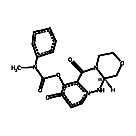 CN(C(=O)Oc1c2n(ccc1=O)N[C@@H]1COCCN1C2=O)c1ccccc1